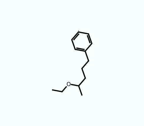 CCOC(C)CCCc1cc[c]cc1